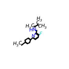 CCC1CCC(c2ccc(F)c(CN[C@H](C)C(C)C)n2)CC1